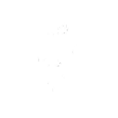 CC[C@H](CC(=O)O)c1cccc(OCc2cc([C@H]3CCCC3(C)C)c(-c3cc(OC)ccc3F)cc2F)c1